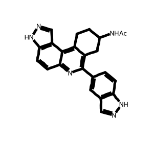 CC(=O)NC1CCc2c(c(-c3ccc4[nH]ncc4c3)nc3ccc4[nH]ncc4c23)C1